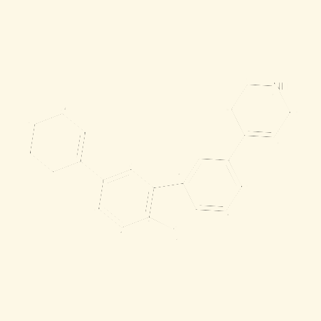 C1=C(c2ccc3sc4ccc(C5=CCNCC5)cc4c3c2)CCCC1